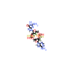 Nc1nc2c(ncn2[C@@H]2O[C@@H]3CO[PH](O)(S)O[C@H]4[C@H](F)[C@H](n5cnc6c(N)ncnc65)O[C@@H]4CO[PH](O)(S)O[C@@H]2C3(F)F)c(=O)[nH]1